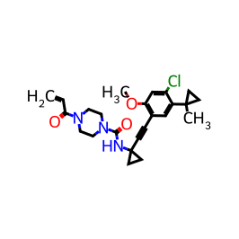 C=CC(=O)N1CCN(C(=O)NC2(C#Cc3cc(C4(C)CC4)c(Cl)cc3OC)CC2)CC1